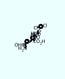 NCN(C=O)c1ccc[n+](CC2=C(C(=O)O)N3C(=O)[C@H](NC(=O)CSc4cc(Cl)ccc4Cl)[C@H]3SC2)c1